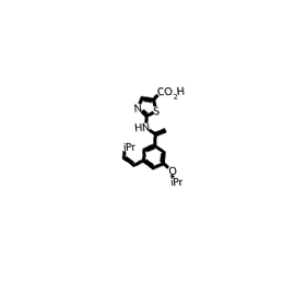 C=C(Nc1ncc(C(=O)O)s1)c1cc(/C=C\C(C)C)cc(OC(C)C)c1